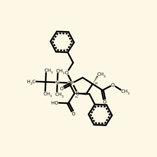 COC(=O)[C@@](C)(C[C@H](O[Si](C)(C)C(C)(C)C)C(=O)O)CP(=O)(OCc1ccccc1)OCc1ccccc1